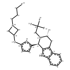 C[C@@H]1Cc2c([nH]c3ccccc23)[C@@H](c2ccc(OC3CN(CCCF)C3)s2)N1CC(F)(F)F